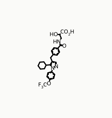 O=C(NCC(O)C(=O)O)c1ccc(Cc2cnn(-c3ccc(OC(F)(F)F)cc3)c2C2CCCCC2)cc1